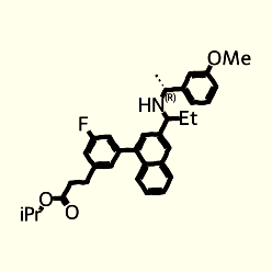 CCC(N[C@H](C)c1cccc(OC)c1)c1cc(-c2cc(F)cc(CCC(=O)OC(C)C)c2)c2ccccc2c1